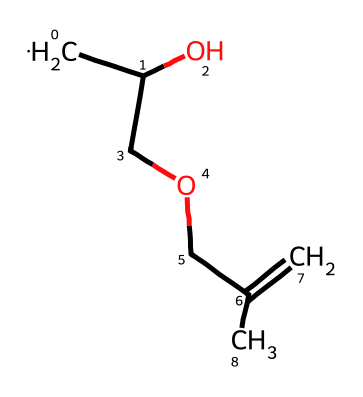 [CH2]C(O)COCC(=C)C